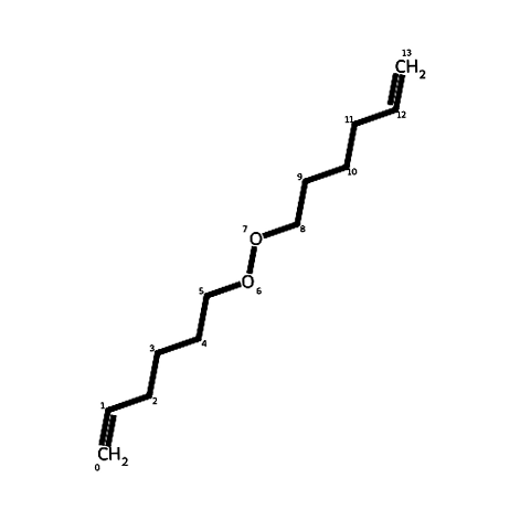 C=CCCCCOOCCCCC=C